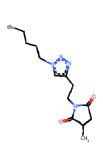 CC1CC(=O)N(CCc2cn(CCCCC(C)(C)C)nn2)C1=O